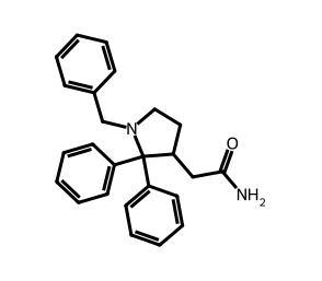 NC(=O)CC1CCN(Cc2ccccc2)C1(c1ccccc1)c1ccccc1